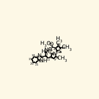 COC(=O)c1c(-n2c(C)cc(C=C(C#N)c3nc4ccccc4[nH]3)c2C)sc(C)c1C